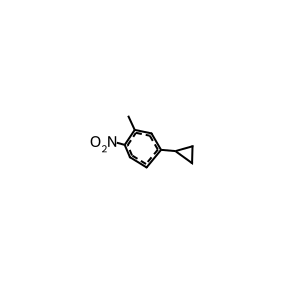 Cc1cc(C2CC2)ccc1[N+](=O)[O-]